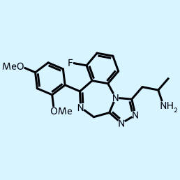 COc1ccc(C2=NCc3nnc(CC(C)N)n3-c3cccc(F)c32)c(OC)c1